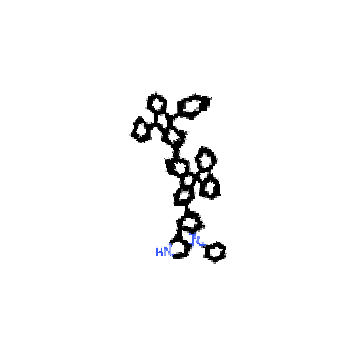 C1=Cc2c(c3cc(-c4ccc5c(c4)C(c4ccccc4)(c4ccccc4)c4cc(-c6ccc7c(-c8ccccc8)c8ccccc8c(-c8ccccc8)c7c6)ccc4-5)ccc3n2-c2ccccc2)CN1